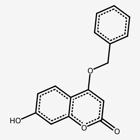 O=c1cc(OCc2ccccc2)c2ccc(O)cc2o1